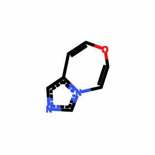 C1=Cc2cncn2C=CO1